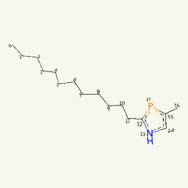 CCCCCCCCCCCCc1[nH]cc(C)p1